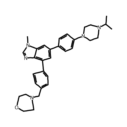 CC(C)N1CCN(c2ccc(-c3cc(-c4ccc(CN5CCOCC5)cc4)c4ncn(C)c4c3)cc2)CC1